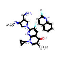 CO/N=C1\CN(c2nc3c(cc2F)c(=O)c(C(=O)O)cn3C2CC2)CC1CN.Fc1ccc2ccccc2n1